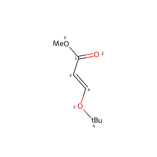 COC(=O)C=COC(C)(C)C